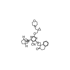 N#Cc1c(N2C[C@H]3CC[C@@H](C2)N3)nc(OCC2(CN3CCOCC3)CC2)nc1N1CC2(C1)C(=O)CCc1ccccc12